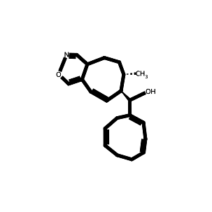 C[C@H]1CCC2C=NOC=C2C=C[C@@H]1C(O)/C1=C/C=C\CCC=CC1